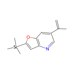 C=C(C)c1cnc2cc([Si](C)(C)C)oc2c1